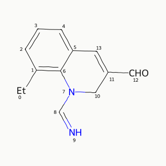 CCc1cccc2c1N(C=N)CC(C=O)=C2